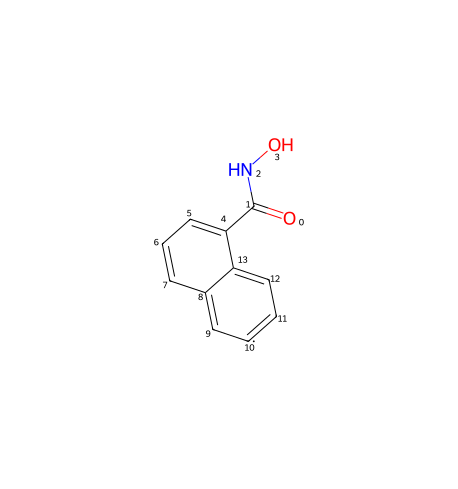 O=C(NO)c1cccc2c[c]ccc12